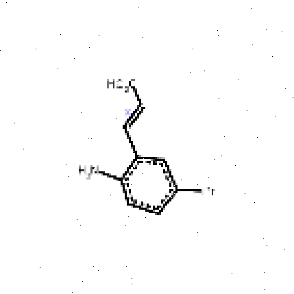 CC(C)c1ccc(N)c(/C=C/C(=O)O)c1